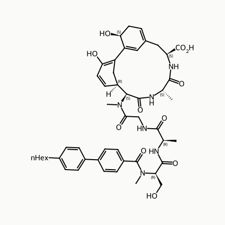 CCCCCCc1ccc(-c2ccc(C(=O)N(C)[C@H](CO)C(=O)N[C@H](C)C(=O)NCC(=O)N(C)[C@@H]3C(=O)N[C@@H](C)C(=O)N[C@H](C(=O)O)CC4=CC[C@H](O)C(=C4)C4=C(O)C=C[C@H]3C4)cc2)cc1